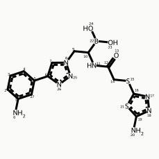 Nc1cccc(-c2cn(CC(NC(=O)CSc3nnc(N)s3)B(O)O)nn2)c1